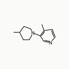 Cc1ccncc1N1CCC(C)CC1